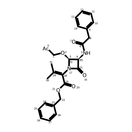 CC(=O)CO[C@H]1[C@@H](NC(=O)Cc2ccccc2)C(=O)N1C(C(=O)OCc1ccccc1)=C(C)C